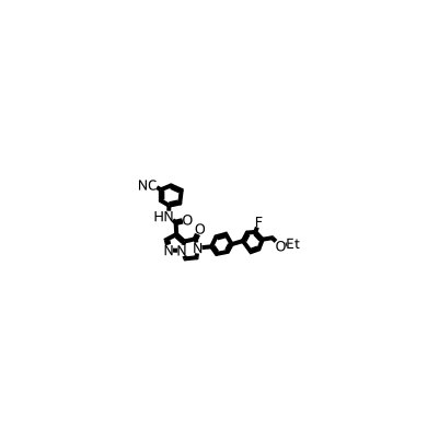 CCOCc1ccc(-c2ccc(N3CCn4ncc(C(=O)Nc5cccc(C#N)c5)c4C3=O)cc2)cc1F